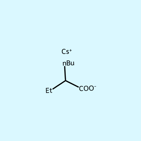 CCCCC(CC)C(=O)[O-].[Cs+]